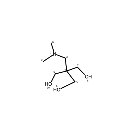 CN(C)CC(CO)(CO)CO